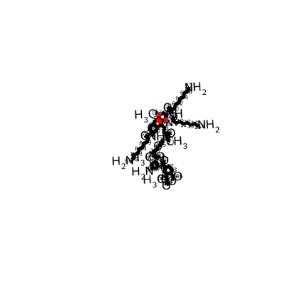 C/C=C\C1=C(/C=N/C(=O)CCCCCCCN)C2(CCC(=O)N(C)CCOCCN(C)C(=O)[C@@H]3C[C@H](N)CN3C(=O)c3ccc4c(=O)oc(=O)n(C)c4c3)c3cc(NC(=O)CCCCCCCN)ccc3C1c1ccc(NC(=O)CCCCCCCN)cc12